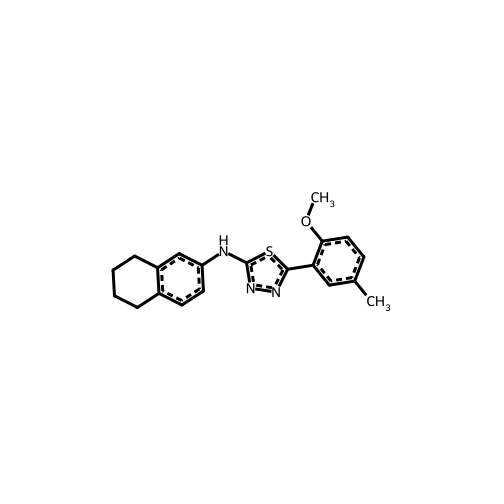 COc1ccc(C)cc1-c1nnc(Nc2ccc3c(c2)CCCC3)s1